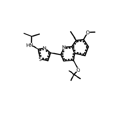 COc1ccc2c(OC(C)(C)C)cc(-c3csc(NC(C)C)n3)nc2c1C